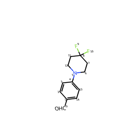 O=Cc1ccc(N2CCC(F)(F)CC2)cc1